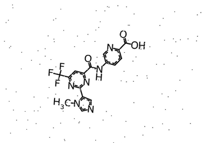 Cn1cncc1-c1nc(C(=O)Nc2ccc(C(=O)O)nc2)cc(C(F)(F)F)n1